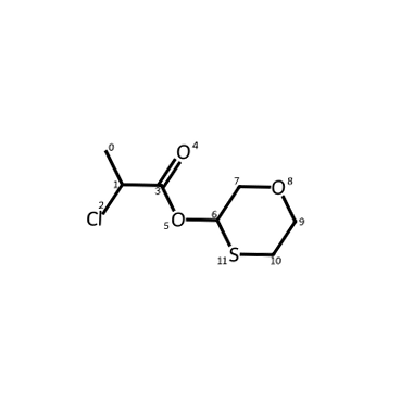 CC(Cl)C(=O)OC1COCCS1